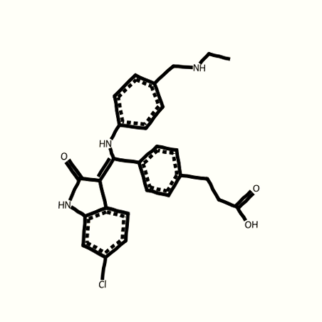 CCNCc1ccc(N/C(=C2\C(=O)Nc3cc(Cl)ccc32)c2ccc(CCC(=O)O)cc2)cc1